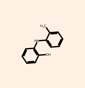 Cc1ccccc1Nc1ccc[c]c1O